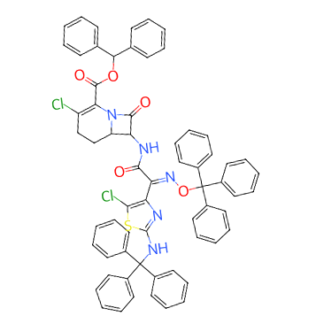 O=C(NC1C(=O)N2C(C(=O)OC(c3ccccc3)c3ccccc3)=C(Cl)CCC12)C(=NOC(c1ccccc1)(c1ccccc1)c1ccccc1)c1nc(NC(c2ccccc2)(c2ccccc2)c2ccccc2)sc1Cl